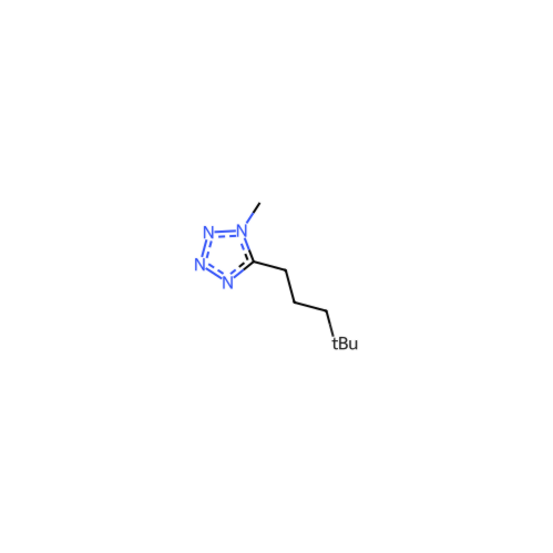 Cn1nnnc1CCCC(C)(C)C